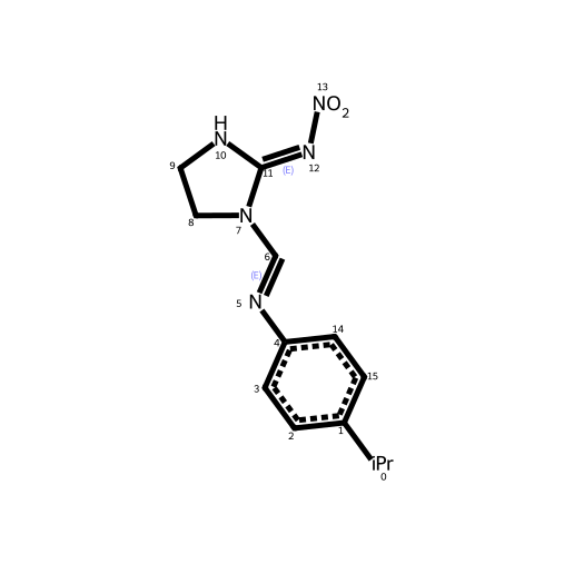 CC(C)c1ccc(/N=C/N2CCN/C2=N\[N+](=O)[O-])cc1